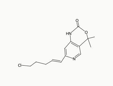 CC1(C)OC(=O)Nc2cc(C=CCCCCl)ncc21